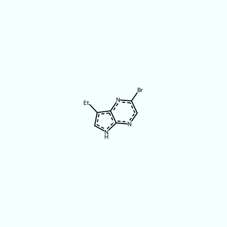 CCc1c[nH]c2ncc(Br)nc12